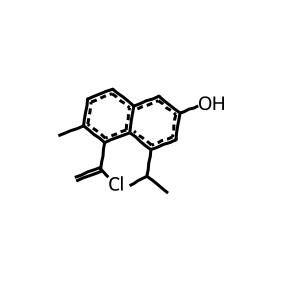 C=C(Cl)c1c(C)ccc2cc(O)cc(C(C)C)c12